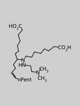 CCCCC/C=C\CCC(CCCCCCC(=O)O)N(CCCCCCCC(=O)O)NCCN(C)C